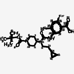 CC(C)(C)OC(=O)N1CCC(N(CCC2CC2)C(=O)Nc2cc(C(=O)O)c(F)cc2F)CC1